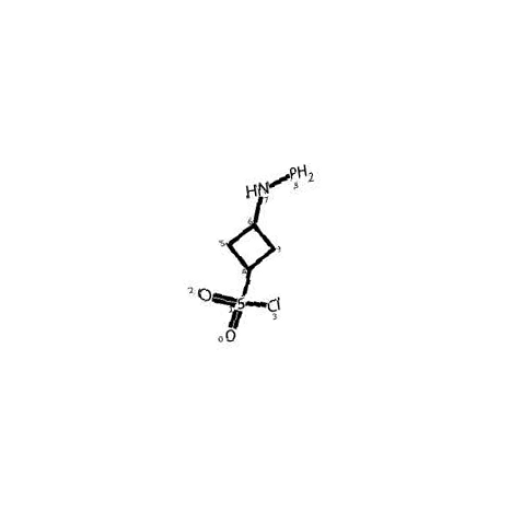 O=S(=O)(Cl)C1CC(NP)C1